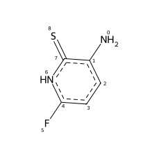 Nc1ccc(F)[nH]c1=S